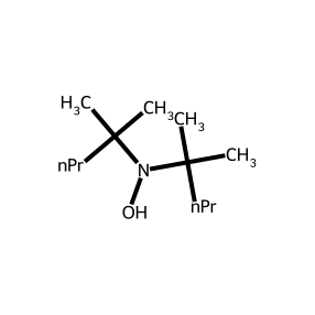 CCCC(C)(C)N(O)C(C)(C)CCC